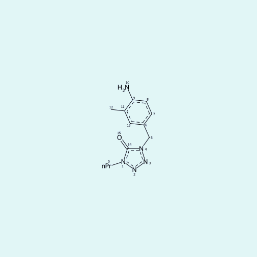 CCCn1nnn(Cc2ccc(N)c(C)c2)c1=O